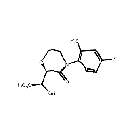 Cc1cc(F)ccc1N1CCO[C@H]([C@@H](O)C(=O)O)C1=O